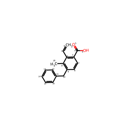 C=Cc1c(C(=O)O)ccc(Cc2ccccc2)c1C